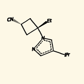 [C-]#[N+][C@H]1C[C@@](CC)(n2cc(C(C)C)cn2)C1